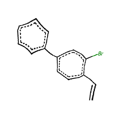 C=Cc1ccc(-c2ccccc2)cc1Br